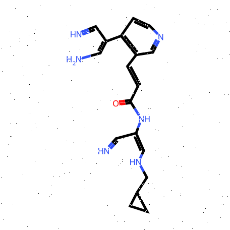 N=C/C(=C\N)c1ccncc1/C=C/C(=O)N/C(C=N)=C/NCC1CC1